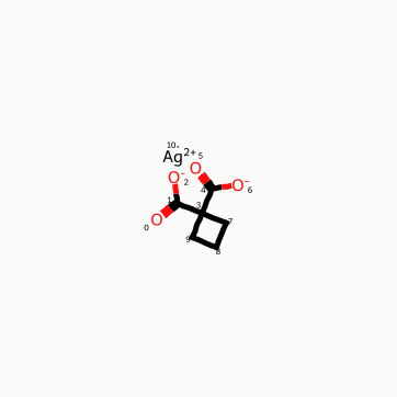 O=C([O-])C1(C(=O)[O-])CCC1.[Ag+2]